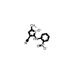 Cc1cc(C#N)c(Nc2ccccc2[N+](=O)[O-])[s+]1[O-]